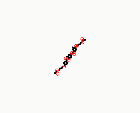 C=CC(=O)OCCCCOc1ccc(C(=O)Oc2ccc(OC(=O)c3ccc(OCCCCOC(=O)C=C)c(C)c3)cc2C)cc1